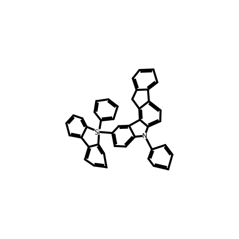 c1ccc(-n2c3ccc([Si]4(c5ccccc5)c5ccccc5-c5ccccc54)cc3c3c4c(ccc32)-c2ccccc2C4)cc1